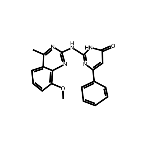 COc1cccc2c(C)nc(Nc3nc(-c4ccccc4)cc(=O)[nH]3)nc12